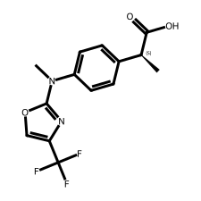 C[C@H](C(=O)O)c1ccc(N(C)c2nc(C(F)(F)F)co2)cc1